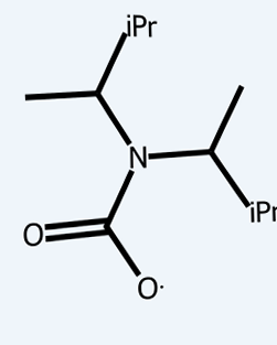 CC(C)C(C)N(C([O])=O)C(C)C(C)C